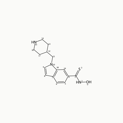 ONC(=S)c1ccc2ccn(CC3CCNCC3)c2c1